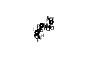 O=C(Nc1ccc(F)c(NC(=O)C(F)F)c1F)c1cc(NC(=O)[C@H]2[C@H](c3ccc(F)c(C(F)(F)F)c3)C2(Cl)Cl)ccc1F